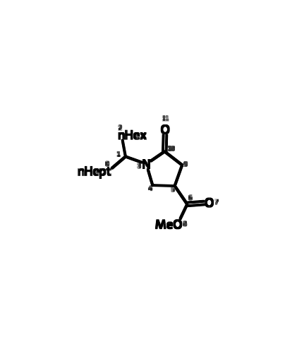 CCCCCCCC(CCCCCC)N1CC(C(=O)OC)CC1=O